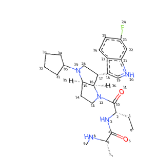 CC[C@H](NC(=O)[C@H](C)NC)C(=O)N1CC[C@@H]2[C@H]1[C@@H](c1c[nH]c3cc(F)ccc13)CN2C1CCCC1